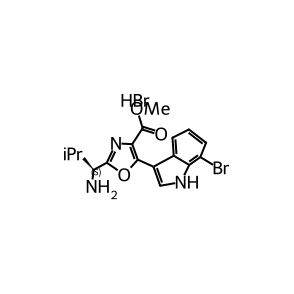 Br.COC(=O)c1nc([C@@H](N)C(C)C)oc1-c1c[nH]c2c(Br)cccc12